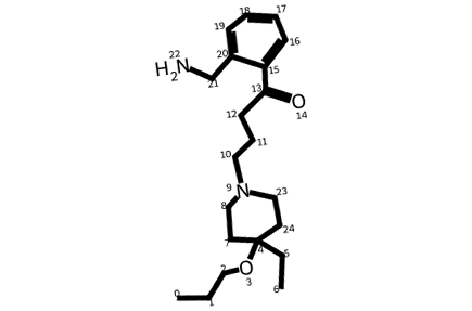 CCCOC1(CC)CCN(CCCC(=O)c2ccccc2CN)CC1